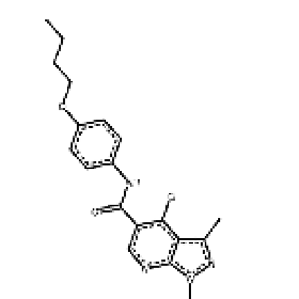 CCCCOc1ccc(NC(=O)c2cnc3c(c(C)nn3C)c2Cl)cc1